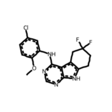 COc1ccc(Cl)cc1Nc1ncnc2[nH]c3c(c12)CC(F)(F)CC3